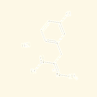 CCN/C(Cc1cccc(Cl)c1)=N/C.Cl